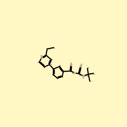 CCc1cc(-c2cccc(C(=O)CC(=O)OC(C)(C)C)c2)ccn1